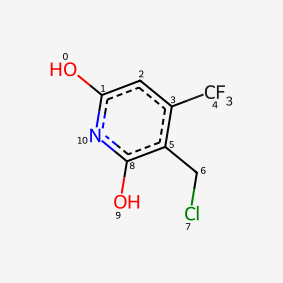 Oc1cc(C(F)(F)F)c(CCl)c(O)n1